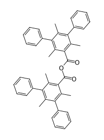 Cc1c(C(=O)OC(=O)c2c(C)c(-c3ccccc3)c(C)c(-c3ccccc3)c2C)c(C)c(-c2ccccc2)c(C)c1-c1ccccc1